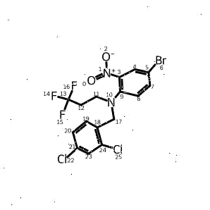 O=[N+]([O-])c1cc(Br)ccc1N(CCC(F)(F)F)Cc1ccc(Cl)cc1Cl